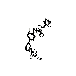 COC(=O)N1CCC[C@@H](c2ccc(NC(=O)OCc3cnco3)cc2)C1